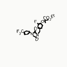 CCOC(=O)C(C)(C)Oc1ccc(CN2C(=O)CN(c3ccc(C(F)(F)F)cc3)C2=O)cc1F